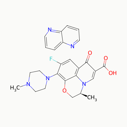 C[C@H]1COc2c(N3CCN(C)CC3)c(F)cc3c(=O)c(C(=O)O)cn1c23.c1cnc2cccnc2c1